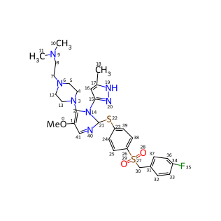 COC1=C(N2CCN(CCN(C)C)CC2)N(c2cc(C)[nH]n2)C(Sc2ccc(S(=O)(=O)Cc3ccc(F)cc3)cc2)N=C1